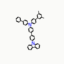 Cc1cc(C)cc(-c2ccc(N(c3ccc(-c4ccccc4)cc3)c3ccc(-c4ccc(-n5c6ccccc6c6ccccc65)cc4)cc3)cc2)c1